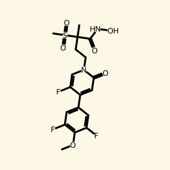 COc1c(F)cc(-c2cc(=O)n(CCC(C)(C(=O)NO)S(C)(=O)=O)cc2F)cc1F